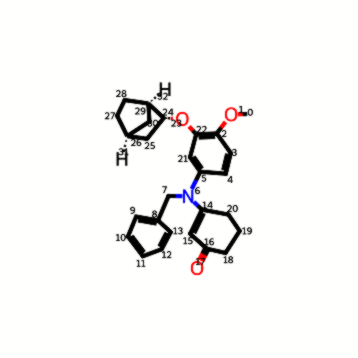 COc1ccc(N(Cc2ccccc2)C2=CC(=O)CCC2)cc1O[C@@H]1C[C@H]2CC[C@@H]1C2